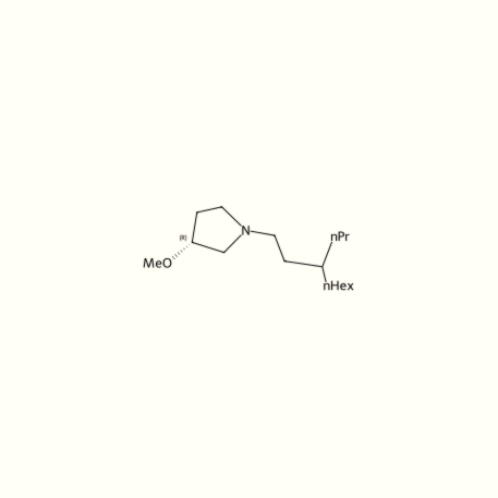 CCCCCCC(CCC)CCN1CC[C@@H](OC)C1